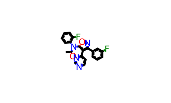 CC(=O)N(c1ccccc1F)c1onc(-c2cccc(F)c2)c1-c1ccncn1